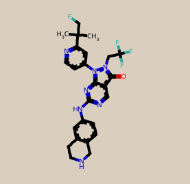 CC(C)(CF)c1cc(-n2c3nc(Nc4ccc5c(c4)CCNC5)ncc3c(=O)n2CC(F)(F)F)ccn1